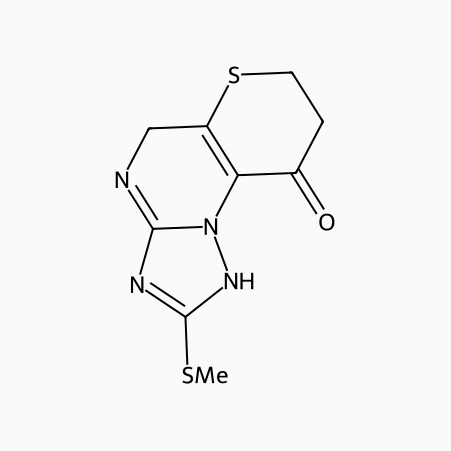 CSC1=NC2=NCC3=C(C(=O)CCS3)N2N1